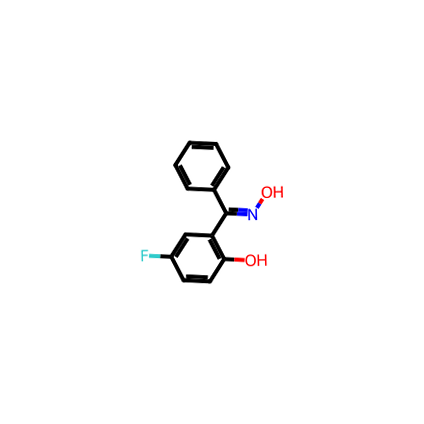 O/N=C(\c1ccccc1)c1cc(F)ccc1O